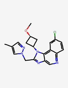 CO[C@H]1C[C@@H](n2c(Cn3cc(C)cn3)nc3cnc4ccc(Cl)cc4c32)C1